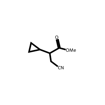 COC(=O)C(CC#N)C1CC1